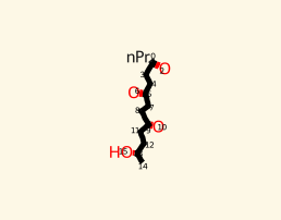 CCCC(=O)CCC(=O)CCC(=O)CCC(C)O